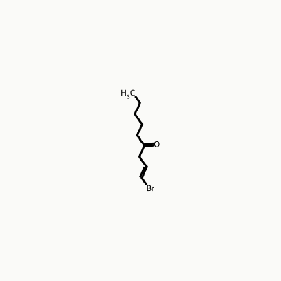 CCCCCC(=O)CC=CBr